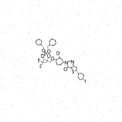 COc1cc(-n2cnc3cc(-c4ccc(I)cc4)sc3c2=O)ccc1OCC1(OP(=O)(OCc2ccccc2)OCc2ccccc2)CC(F)(F)C1